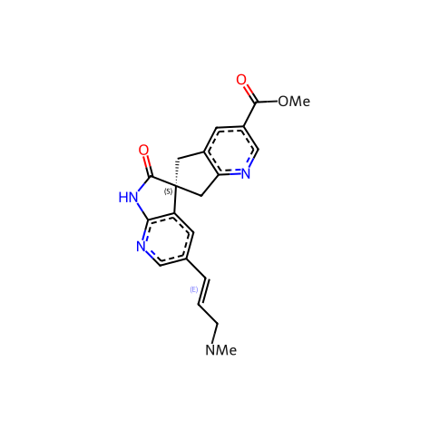 CNC/C=C/c1cnc2c(c1)[C@@]1(Cc3cc(C(=O)OC)cnc3C1)C(=O)N2